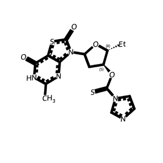 CC[C@H]1OC(n2c(=O)sc3c(=O)[nH]c(C)nc32)C[C@@H]1OC(=S)n1ccnc1